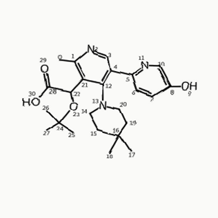 Cc1ncc(-c2ccc(O)cn2)c(N2CCC(C)(C)CC2)c1C(OC(C)(C)C)C(=O)O